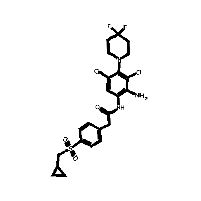 Nc1c(NC(=O)Cc2ccc(S(=O)(=O)CC3CC3)cc2)cc(Cl)c(N2CCC(F)(F)CC2)c1Cl